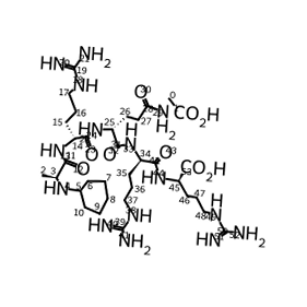 CC(=O)O.C[C@H](NC1CCCCC1)C(=O)N[C@H](CCCNC(=N)N)C(=O)N[C@H](CCC(N)=O)C(=O)N[C@H](CCCNC(=N)N)C(=O)N[C@H](CCCNC(=N)N)C(=O)O